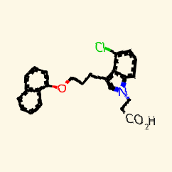 O=C(O)CCn1cc(CCCOc2cccc3ccccc23)c2c(Cl)cccc21